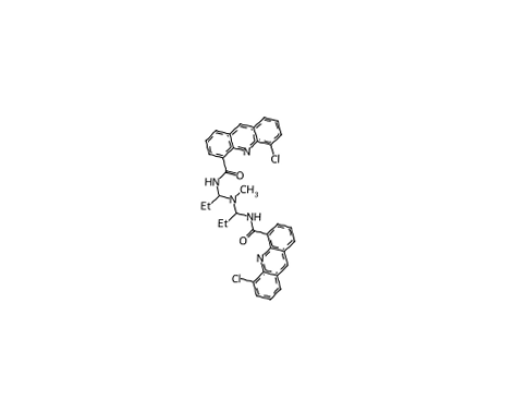 CCC(NC(=O)c1cccc2cc3cccc(Cl)c3nc12)N(C)C(CC)NC(=O)c1cccc2cc3cccc(Cl)c3nc12